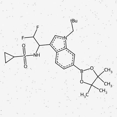 CC(C)(C)Cn1cc(C(NS(=O)(=O)C2CC2)C(F)F)c2ccc(B3OC(C)(C)C(C)(C)O3)cc21